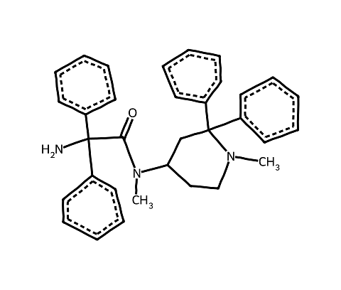 CN(C(=O)C(N)(c1ccccc1)c1ccccc1)C1CCN(C)C(c2ccccc2)(c2ccccc2)C1